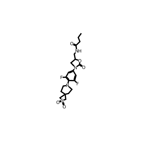 CCCC(=O)NCC1CN(c2cc(F)c(N3CCC4(CC3)CS(=O)(=O)C4)c(F)c2)C(=O)O1